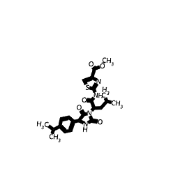 COC(=O)c1csc(NC(=O)C(CC(C)C)N2C(=O)NC(c3ccc(C(C)C)cc3)C2=O)n1